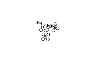 CC1C=C([Si](c2ccccc2)(c2ccccc2)c2cccc(-c3cc(-c4cccc([Si](c5ccccc5)(c5ccccc5)c5ccccc5)c4)nc(-n4c5ccccc5c5cc(C(C)(C)C)cc(C(C)(C)C)c54)n3)c2)C=CC1